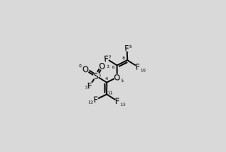 O=S(=O)(F)C(OC(F)=C(F)F)=C(F)F